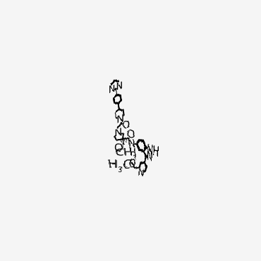 COCc1cc(-c2n[nH]c3ccc(NC(=O)[C@]4(COC)CCN(CC(=O)N5CC=C(c6ccc(-c7ncccn7)cc6)CC5)C4)cc23)ccn1